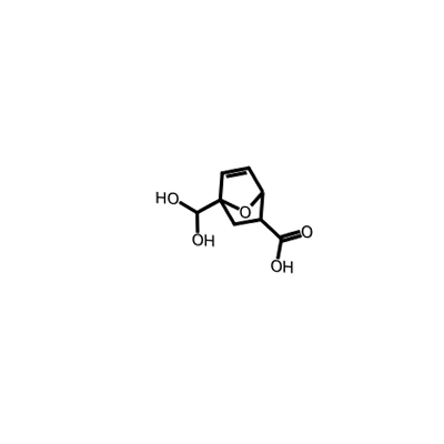 O=C(O)C1CC2(C(O)O)C=CC1O2